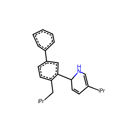 CC(C)Cc1ccc(-c2ccccc2)cc1C1C=CC(C(C)C)=CN1